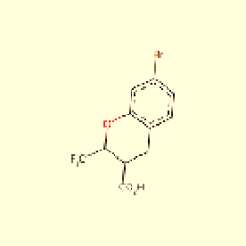 O=C(O)C1Cc2ccc(Br)cc2OC1C(F)(F)F